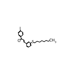 CCCCCCCCSc1cccc(/C=C/C(=O)c2ccc(I)cc2)c1